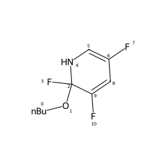 CCCCOC1(F)NC=C(F)C=C1F